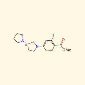 COC(=O)c1ccc(N2CC[C@H](N3CCCC3)C2)cc1F